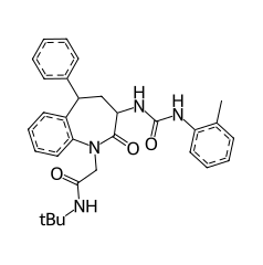 Cc1ccccc1NC(=O)NC1CC(c2ccccc2)c2ccccc2N(CC(=O)NC(C)(C)C)C1=O